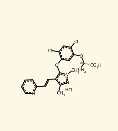 Cc1nn(C)c(Oc2cc(O[C@@H](C)C(=O)O)c(Cl)cc2Cl)c1C=Cc1ccccn1.Cl